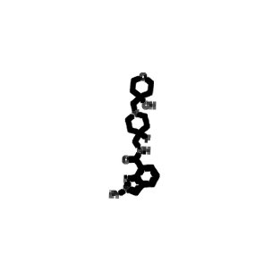 CC(C)n1cc2cccc(C(=O)NCC3(F)CCN(CC4(O)CCOCC4)CC3)c2n1